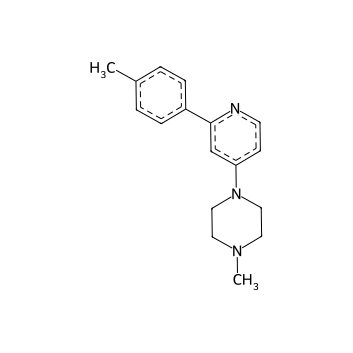 Cc1ccc(-c2cc(N3CCN(C)CC3)ccn2)cc1